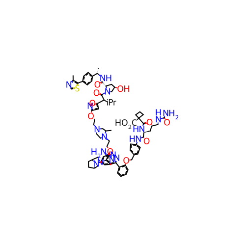 Cc1ncsc1-c1ccc([C@H](C)NC(=O)[C@@H]2C[C@@H](O)CN2C(=O)C(c2cc(OCCN3CCN(CCOc4cc(N5C6CCC5CN(c5cc(-c7ccccc7OCc7ccc(NC(=O)[C@H](CCCNC(N)=O)NC(=O)C8(C(=O)O)CCC8)cc7)nnc5N)C6)ccn4)C(C)C3)no2)C(C)C)cc1